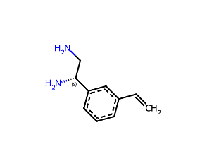 C=Cc1cccc([C@H](N)CN)c1